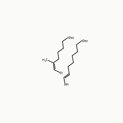 CCC=C(C)CCCCCCCCCCCCCC.CCCC=CCCCCCCCCCCCCCCC